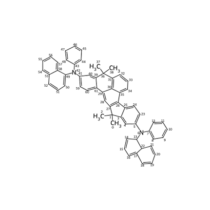 CC1(C)c2cc(N(c3ccccc3)C3C=CC=C4C=CC=CC43)ccc2-c2c1cc1c3c(cccc23)C(C)(C)c2cc(N(c3ccccc3)c3cccc4ccccc34)ccc2-1